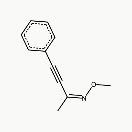 CO/N=C(/C)C#Cc1ccccc1